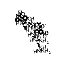 COc1ccc2c([C@@]3(C(=O)N[C@@H](CC(C)C)C(=O)NCC(=O)N[C@@H](CC(C)C)C(=O)NC(c4ccc([N+](=O)[O-])cc4[N+](=O)[O-])C(N)C(=O)N[C@@H](C)C(=O)N[C@@H](CCCNC(=N)N)C(N)=O)CCCN3C(C)=O)cc(=O)oc2c1